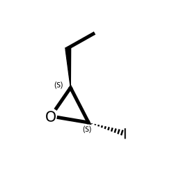 CC[C@@H]1O[C@H]1I